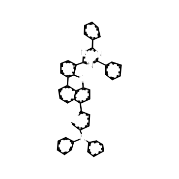 c1ccc(-c2nc(-c3ccccc3)nc(-c3cccc4c3Sc3ccc(-c5ccc(N(c6ccccc6)c6ccccc6)cc5)c5cccc-4c35)n2)cc1